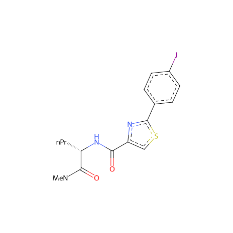 CCC[C@H](NC(=O)c1csc(-c2ccc(I)cc2)n1)C(=O)NC